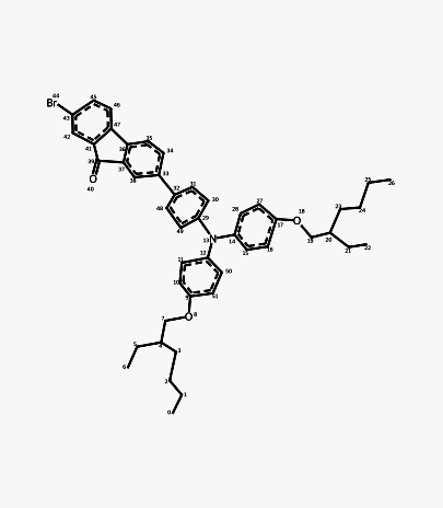 CCCCC(CC)COc1ccc(N(c2ccc(OCC(CC)CCCC)cc2)c2ccc(-c3ccc4c(c3)C(=O)c3cc(Br)ccc3-4)cc2)cc1